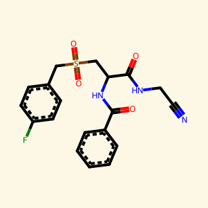 N#CCNC(=O)C(CS(=O)(=O)Cc1ccc(F)cc1)NC(=O)c1ccccc1